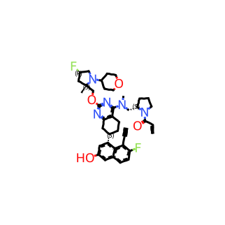 C#Cc1c(F)ccc2cc(O)cc([C@H]3CCc4c(nc(OC[C@]5(C)C[C@@H](F)CN5C5CCOCC5)nc4N(C)C[C@@H]4CCCN4C(=O)C=C)C3)c12